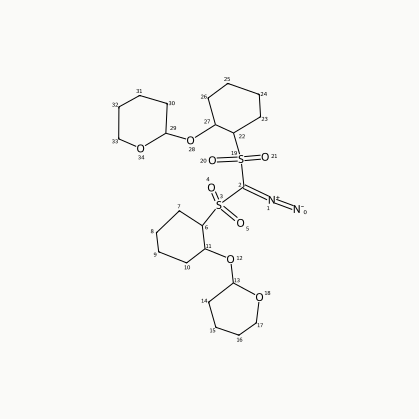 [N-]=[N+]=C(S(=O)(=O)C1CCCCC1OC1CCCCO1)S(=O)(=O)C1CCCCC1OC1CCCCO1